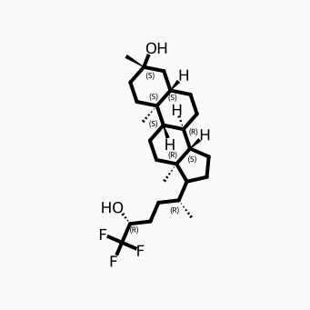 C[C@H](CC[C@@H](O)C(F)(F)F)C1CC[C@H]2[C@@H]3CC[C@H]4C[C@@](C)(O)CC[C@]4(C)[C@H]3CC[C@]12C